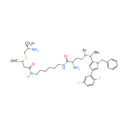 CC(=O)N(CCC(N)C(=O)NCCCCCCN(C)C(=O)CC(C=O)SC[C@H](N)C(=O)O)C(c1cc(-c2cc(F)ccc2F)cn1Cc1ccccc1)C(C)(C)C